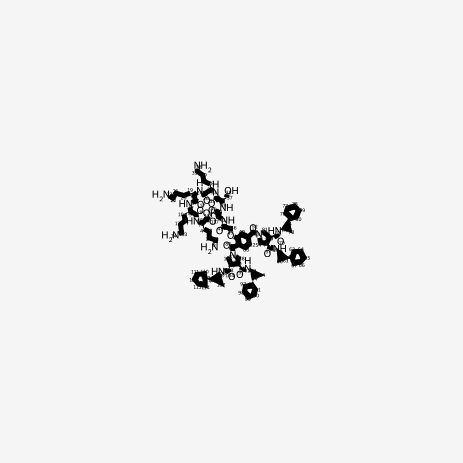 NCCCC[C@H](NC(=O)[C@H](CCCCN)NC(=O)[C@H](CCCCN)NC(=O)[C@H](CCCCN)NC(=O)[C@H](CO)NC(=O)CNC(=O)COc1cc(C(=O)N2C[C@@H](C(=O)N[C@H]3C[C@@H]3c3ccccc3)[C@H](C(=O)N[C@H]3C[C@@H]3c3ccccc3)C2)ccc1C(=O)N1C[C@@H](C(=O)N[C@H]2C[C@@H]2c2ccccc2)[C@H](C(=O)N[C@H]2C[C@@H]2c2ccccc2)C1)C(=O)O